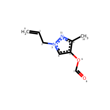 C=CCn1cc(OC=O)c(C)n1